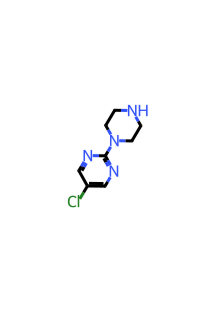 Clc1cnc(N2CCNCC2)nc1